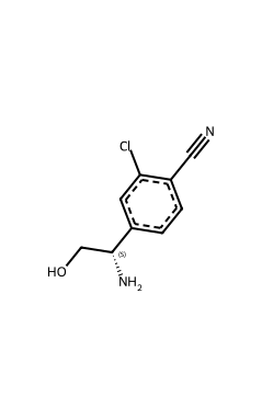 N#Cc1ccc([C@H](N)CO)cc1Cl